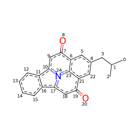 CC(C)Cc1cc2c(=O)cc3c4ccccc4c4cc(=O)c(c1)c2n34